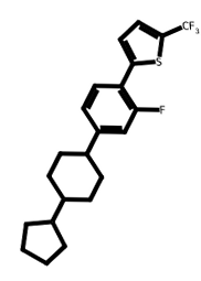 Fc1cc(C2CCC(C3CCCC3)CC2)ccc1-c1ccc(C(F)(F)F)s1